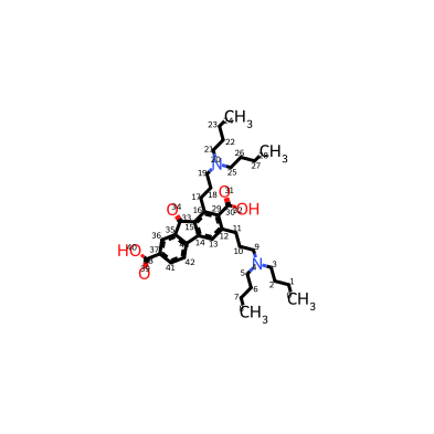 CCCCN(CCCC)CCCc1cc2c(c(CCCN(CCCC)CCCC)c1C(=O)O)C(=O)c1cc(C(=O)O)ccc1-2